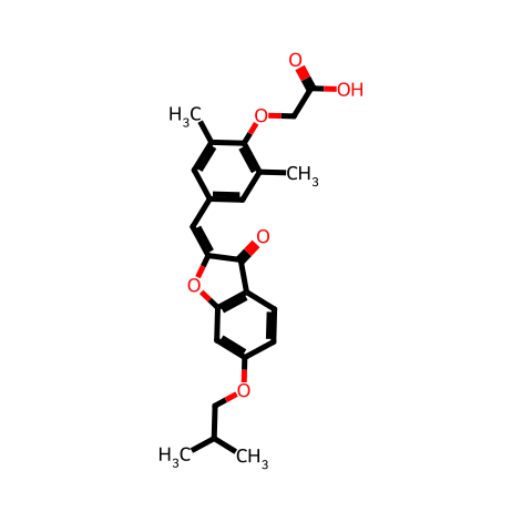 Cc1cc(C=C2Oc3cc(OCC(C)C)ccc3C2=O)cc(C)c1OCC(=O)O